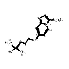 CCOC(=O)c1cnc2cc(OCCCC(C)(C)O)ccn12